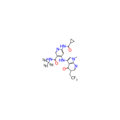 [2H]C([2H])([2H])NC(=O)c1cnc(NC(=O)C2CC2)cc1Nc1cn(C)c2c1C(=O)C(CC(F)(F)F)C=N2